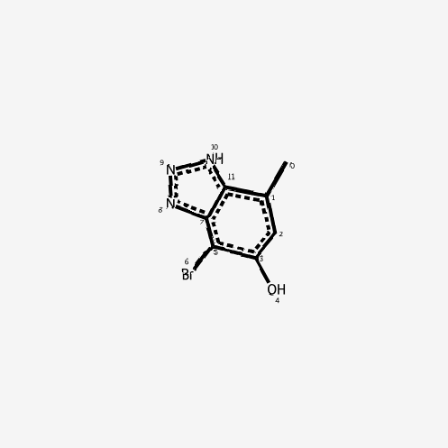 Cc1cc(O)c(Br)c2nn[nH]c12